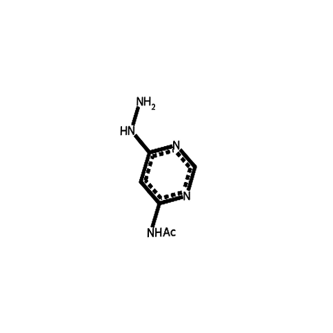 CC(=O)Nc1cc(NN)ncn1